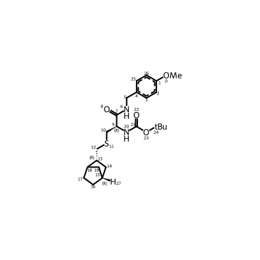 COc1ccc(CNC(=O)[C@H](CSC[C@@H]2C[C@@H]3CCC2C3)NC(=O)OC(C)(C)C)cc1